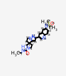 CCNC(=O)N1CCC2(CCn3nc(-c4cnc5ccc(N=S(C)(C)=O)cc5c4)cc32)C1